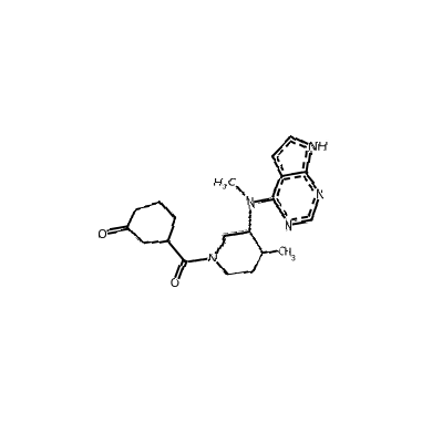 CC1CCN(C(=O)C2CCCC(=O)C2)CC1N(C)c1ncnc2[nH]ccc12